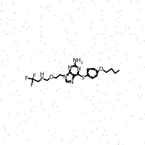 CCCCOc1ccc(Sc2nc(N)nc3c2ncn3CCOCPCC(F)(F)F)cc1